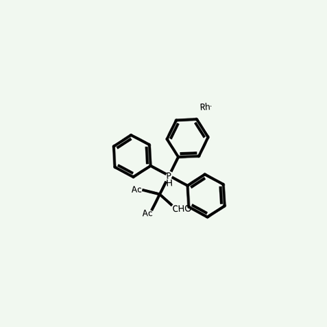 CC(=O)C(C=O)(C(C)=O)[PH](c1ccccc1)(c1ccccc1)c1ccccc1.[Rh]